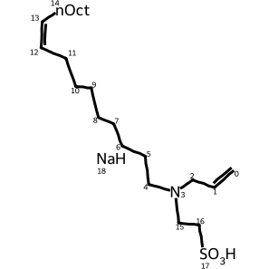 C=CCN(CCCCCCCC/C=C\CCCCCCCC)CCS(=O)(=O)O.[NaH]